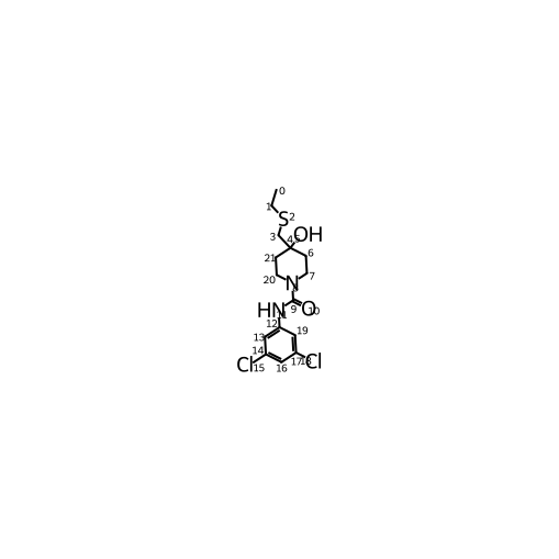 CCSCC1(O)CCN(C(=O)Nc2cc(Cl)cc(Cl)c2)CC1